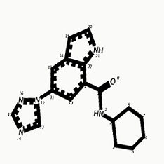 O=C(NC1CCCCC1)c1cc(-n2cncn2)cc2cc[nH]c12